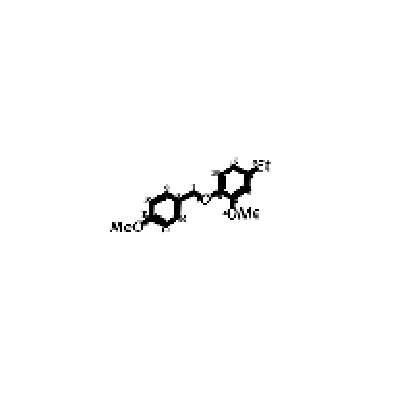 CCC1C=C(OC)C(OCc2ccc(OC)cc2)=CC1